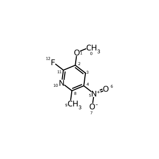 COc1cc([N+](=O)[O-])c(C)nc1F